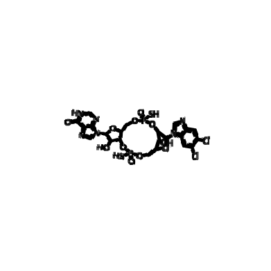 O=c1[nH]cnc2c1ncn2C1OC2COP(=O)(S)OC3C(O)C(COP(=O)(S)OC2C1O)OC3n1cnc2cc(Cl)c(Cl)cc21